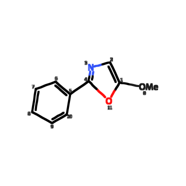 COc1cnc(-c2ccccc2)o1